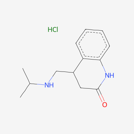 CC(C)NCC1CC(=O)Nc2ccccc21.Cl